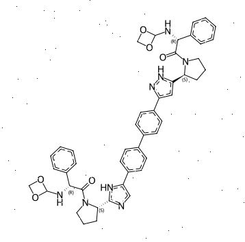 O=C([C@H](NC1OCO1)c1ccccc1)N1CCC[C@H]1c1cc(-c2ccc(-c3ccc(-c4cnc([C@@H]5CCCN5C(=O)[C@H](NC5OCO5)c5ccccc5)[nH]4)cc3)cc2)n[nH]1